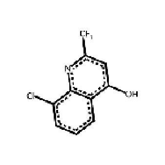 Oc1cc(C(F)(F)F)nc2c(Cl)cccc12